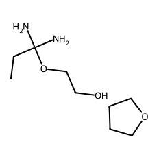 C1CCOC1.CCC(N)(N)OCCO